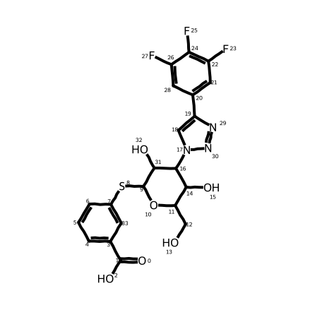 O=C(O)c1cccc(SC2OC(CO)C(O)C(n3cc(-c4cc(F)c(F)c(F)c4)nn3)C2O)c1